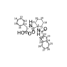 O=C(NC1(C(=O)N[C@H](C(=O)O)c2ccccc2)CCCCC1)c1cc2ccccc2s1